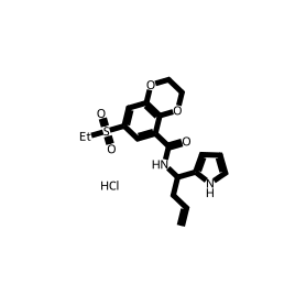 C=CCC(NC(=O)c1cc(S(=O)(=O)CC)cc2c1OCCO2)c1ccc[nH]1.Cl